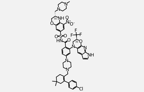 CN1CCN(C[C@H]2COc3cc(S(=O)(=O)NC(=O)c4ccc(N5CCN(CC6=C(c7ccc(Cl)cc7)CC(C)(C)CC6)CC5)cc4N4C[C@@H](C(F)(F)F)Oc5nc6[nH]ccc6cc54)cc([N+](=O)[O-])c3N2)CC1